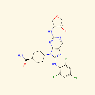 NC(=O)[C@H]1CC[C@@H](n2c(Nc3c(F)cc(Cl)cc3F)nc3cnc(NC4COC[C@H]4O)nc32)CC1